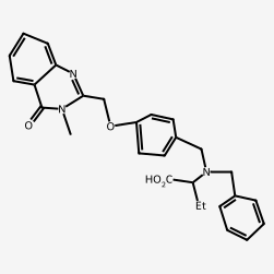 CCC(C(=O)O)N(Cc1ccccc1)Cc1ccc(OCc2nc3ccccc3c(=O)n2C)cc1